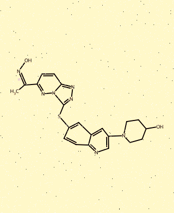 C/C(=N/O)c1ccc2nnc(Sc3ccc4ncc(N5CCC(O)CC5)cc4c3)n2n1